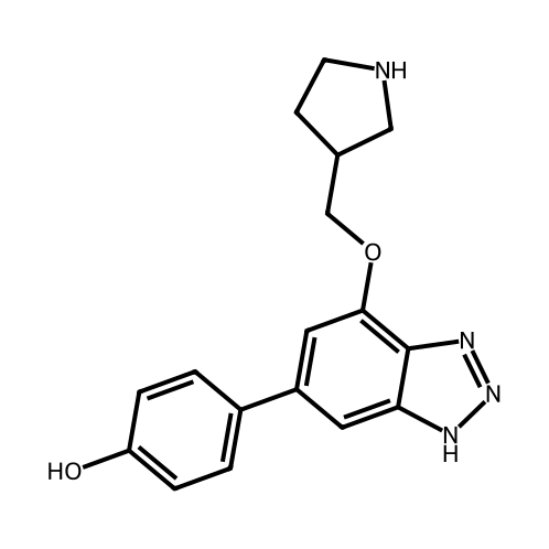 Oc1ccc(-c2cc(OCC3CCNC3)c3nn[nH]c3c2)cc1